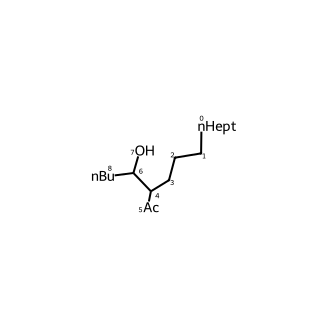 CCCCCCCCCCC(C(C)=O)C(O)CCCC